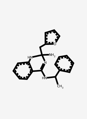 CC(NC1=NC(N)(Cc2ccco2)Nc2ccccc21)c1ccccc1